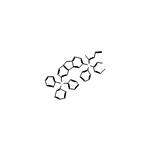 C=C/C=C(\C)S(C(/C=C\C)=C/C)(c1ccccc1)c1ccc2c(c1)-c1cc([Si](c3ccccc3)(c3ccccc3)c3ccccc3)ccc1C2